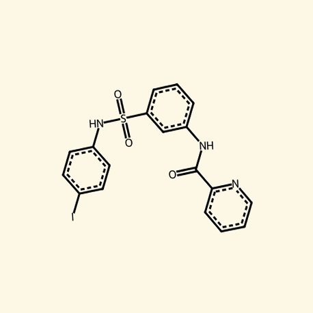 O=C(Nc1cccc(S(=O)(=O)Nc2ccc(I)cc2)c1)c1ccccn1